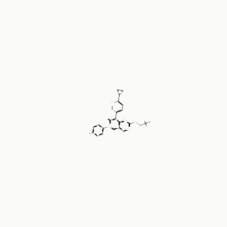 COc1ccc(-n2cc3cnc(NCC(F)(F)F)nc3c(C3=CC=C(C4CC4)NC3)c2=O)cc1